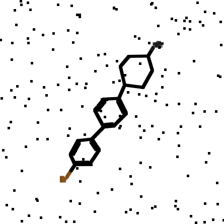 CCCC1CCC(c2ccc(-c3ccc(Br)cc3)cc2)CC1